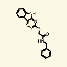 O=C(CSc1nnc2c(n1)[nH]c1ccccc12)NCc1ccccc1